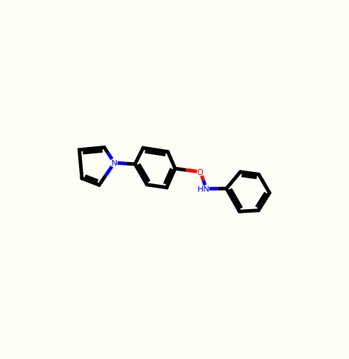 c1ccc(NOc2ccc(-n3cccc3)cc2)cc1